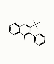 Oc1c(-c2ccccc2)c(C(F)(F)F)nc2ccccc12